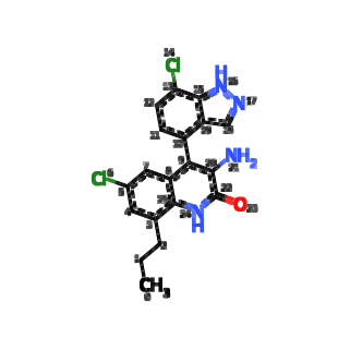 CCCc1cc(Cl)cc2c(-c3ccc(Cl)c4[nH]ncc34)c(N)c(=O)[nH]c12